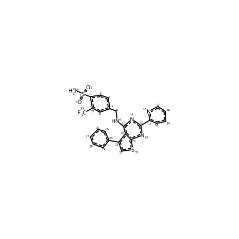 NS(=O)(=O)c1ccc(CNc2nc(-c3ccccn3)nc3scc(-c4ccccc4)c23)cc1C(F)(F)F